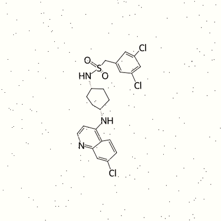 O=S(=O)(Cc1cc(Cl)cc(Cl)c1)N[C@H]1CC[C@@H](Nc2ccnc3cc(Cl)ccc23)CC1